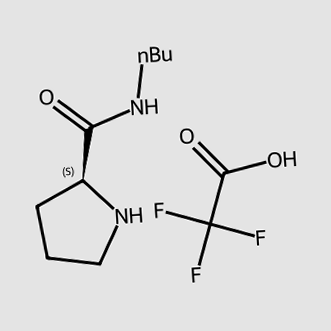 CCCCNC(=O)[C@@H]1CCCN1.O=C(O)C(F)(F)F